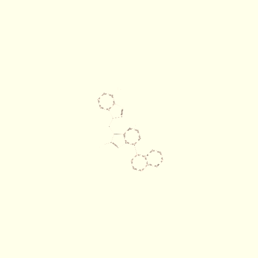 CC1=Cc2c(Br)cccc2C1CC1C(C)=Cc2c(-c3cccc4ccccc34)cccc21